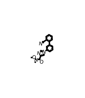 CON(C)C(=O)c1cn(-c2cccc(-c3ccccc3C#N)c2)cn1